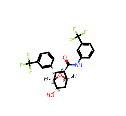 O=C(Nc1cccc(C(F)(F)F)c1)[C@@H]1[C@@H](c2cccc(C(F)(F)F)c2)[C@H]2O[C@@H]1C[C@@H]2O